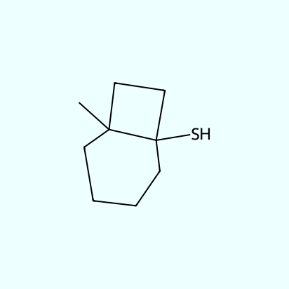 CC12CCCCC1(S)CC2